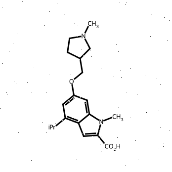 CC(C)c1cc(OCC2CCN(C)C2)cc2c1cc(C(=O)O)n2C